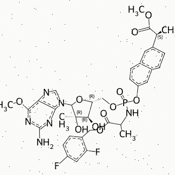 COC(=O)[C@@H](C)c1ccc2cc(OP(=O)(NC(C)C(=O)OCc3ccc(F)cc3F)OC[C@H]3OC(n4cnc5c(OC)nc(N)nc54)[C@](C)(O)[C@@H]3O)ccc2c1